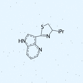 CC(C)C1CSC(c2c[nH]c3cccnc23)=N1